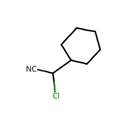 N#CC(Cl)C1CCCCC1